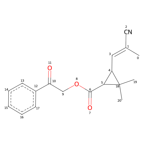 C/C(C#N)=C\C1C(C(=O)OCC(=O)c2ccccc2)C1(C)C